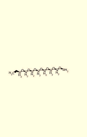 C=C[SiH2]O[SiH2]O[SiH2]O[SiH2]O[SiH2]O[SiH2]O[SiH2]O[SiH3]